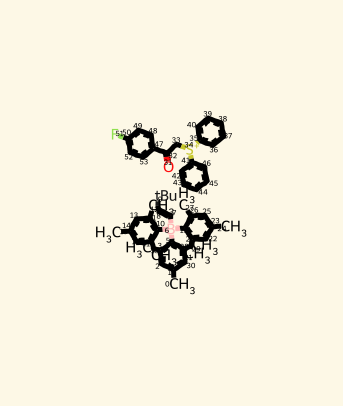 Cc1cc(C)c([B-](C=CC(C)(C)C)(c2c(C)cc(C)cc2C)c2c(C)cc(C)cc2C)c(C)c1.O=C(C[S+](c1ccccc1)c1ccccc1)c1ccc(F)cc1